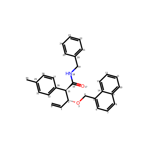 C=C[C@@H](OCc1cccc2ccccc12)[C@H](C(=O)NCc1ccccc1)c1ccc(C)cc1